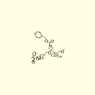 COC[C]12[Co]3[Co]1[C]32C1(OCCCNS(C)(=O)=O)CN(C(=O)OCc2ccccc2)C1